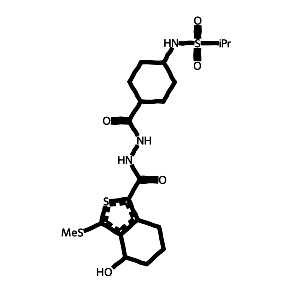 CSc1sc(C(=O)NNC(=O)C2CCC(NS(=O)(=O)C(C)C)CC2)c2c1C(O)CCC2